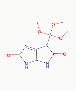 COC(OC)(OC)N1C(=O)NC2NC(=O)N=C21